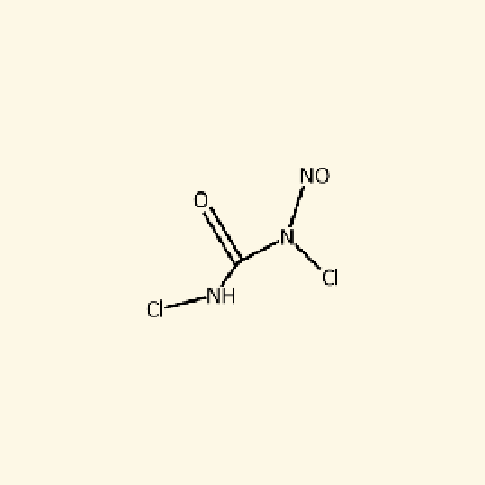 O=NN(Cl)C(=O)NCl